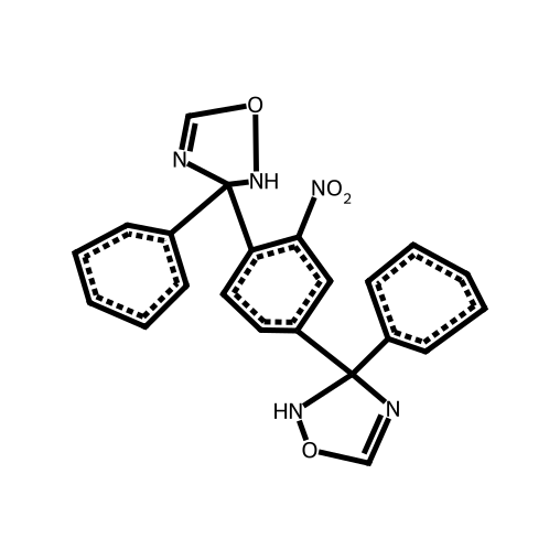 O=[N+]([O-])c1cc(C2(c3ccccc3)N=CON2)ccc1C1(c2ccccc2)N=CON1